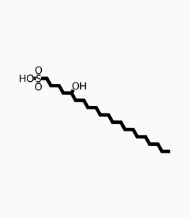 CCCCCCCCCCCCCCCCC(O)CCCCS(=O)(=O)O